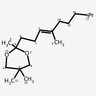 C/C(=C\CCC1(C)OCC(C)(C)CO1)CCCC(C)C